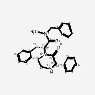 CN(Cc1ccccc1)C(=O)[C@@H](Cc1ccccc1)N1CCN[C@@H](c2ccccc2)C1=O